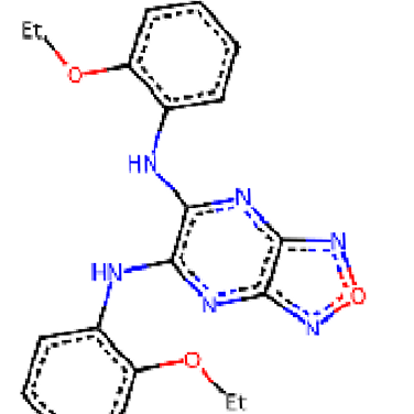 CCOc1ccccc1Nc1nc2nonc2nc1Nc1ccccc1OCC